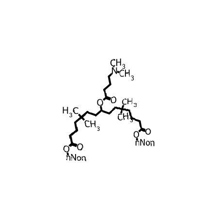 CCCCCCCCCOC(=O)CCCC(C)(C)CCC(CCC(C)(C)CCCC(=O)OCCCCCCCCC)OC(=O)CCCN(C)C